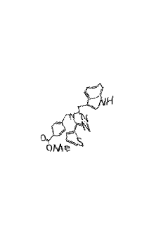 COC(=O)c1ccc(Cn2c(Cc3c[nH]c4ccccc34)nnc2-c2cccs2)cc1